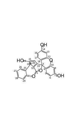 O=C1OC2(c3ccc(O)cc3Oc3cc(O)ccc32)c2ccc(O)c(-c3ccccc3)c21